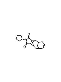 O=C1C2C3CC4(CC5=CCC3C4C5)C2C(=O)N1C1CCCC1